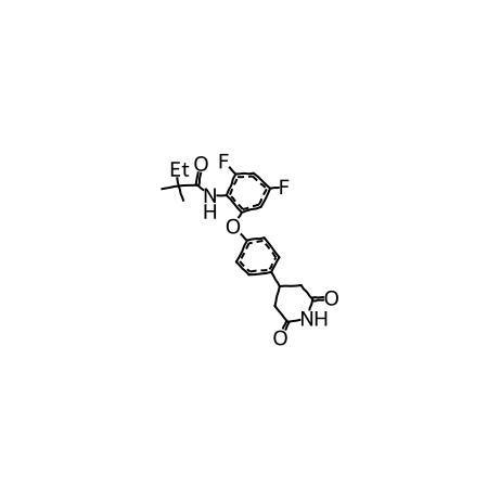 CCC(C)(C)C(=O)Nc1c(F)cc(F)cc1Oc1ccc(C2CC(=O)NC(=O)C2)cc1